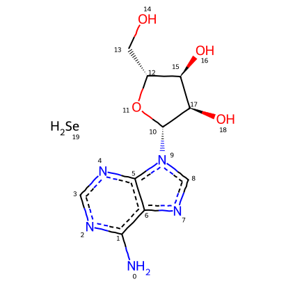 Nc1ncnc2c1ncn2[C@@H]1O[C@H](CO)[C@@H](O)[C@H]1O.[SeH2]